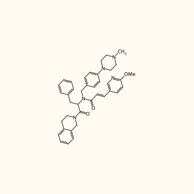 COc1ccc(C=CC(=O)N(Cc2ccc(N3CCN(C)CC3)cc2)C(Cc2ccccc2)C(=O)N2CCc3ccccc3C2)cn1